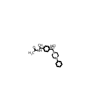 CC(=O)NC(C)c1ccc(CN2CCN(c3ccccc3)CC2)cc1.Cl.Cl